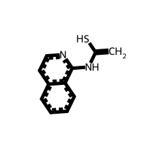 C=C(S)Nc1nccc2ccccc12